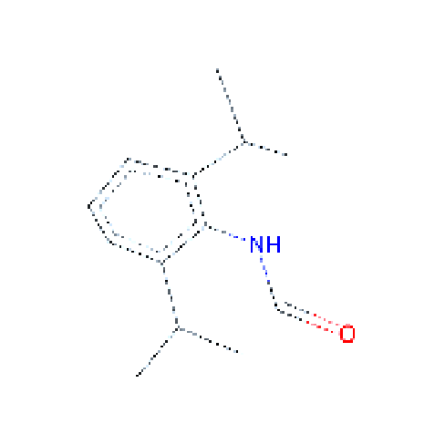 CC(C)c1cccc(C(C)C)c1NC=O